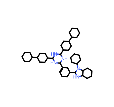 C1=C(C2NC(C3CCC(C4CCCCC4)CC3)NC(C3CCC(C4CCCCC4)CC3)N2)CC(C2NC3CCCCC3N2C2CCCCC2)CC1